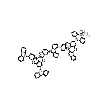 CC1(C)c2ccccc2N(c2cc3c4c(c2)Oc2c(sc5ccccc25)P4(=O)c2ccc(-c4cccc5c4c4ccccc4n5-c4ccc5sc6c(c5c4)Oc4cc(-n5c7ccccc7c7ccccc75)cc5c4P6(=S)c4ccc(-n6c7ccccc7c7ccccc76)cc4O5)cc2O3)c2ccccc21